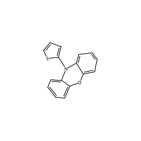 c1csc(N2c3ccccc3Oc3ccccc32)c1